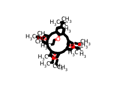 CCCOc1c2cc(C(C)(C)C)cc1Cc1cc(C(C)(C)C)cc(c1OCCC)Cc1cc(C(C)C)c(C)c(c1OCCC)Cc1cc(C(C)(C)C)cc(c1O)C2